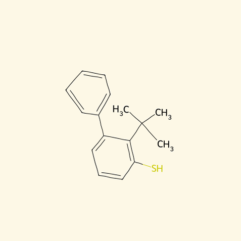 CC(C)(C)c1c(S)cccc1-c1ccccc1